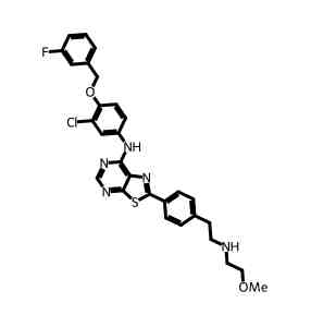 COCCNCCc1ccc(-c2nc3c(Nc4ccc(OCc5cccc(F)c5)c(Cl)c4)ncnc3s2)cc1